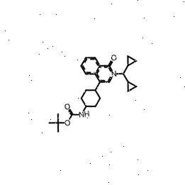 CC(C)(C)OC(=O)NC1CCC(c2cn(C(C3CC3)C3CC3)c(=O)c3ccccc23)CC1